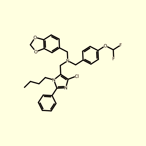 CCCCn1c(-c2ccccc2)nc(Cl)c1CN(Cc1ccc(OC(F)F)cc1)Cc1ccc2c(c1)OCO2